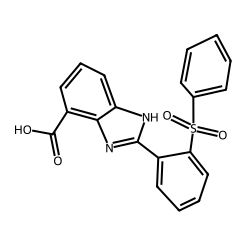 O=C(O)c1cccc2[nH]c(-c3ccccc3S(=O)(=O)c3ccccc3)nc12